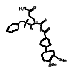 COc1ccc(-c2ccc(C(=O)OC(=O)[C@H](CCC(N)=O)NC(C)(C)Cc3ccccc3)cc2)cc1OC